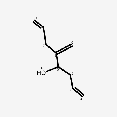 C=CC[C](O)C(=C)CC=C